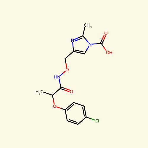 Cc1nc(CONC(=O)C(C)Oc2ccc(Cl)cc2)cn1C(=O)O